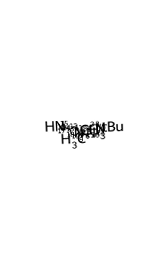 CC(C)(C)N1CCCN(CC(C)(C)N2CCC(C3CNC3)CC2)CC1